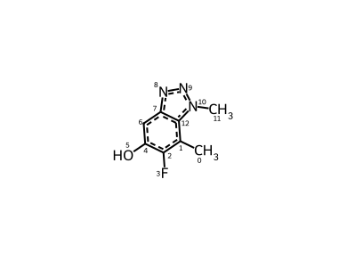 Cc1c(F)c(O)cc2nnn(C)c12